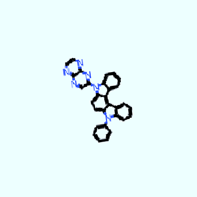 c1ccc(-n2c3ccccc3c3c4c5ccccc5n(-c5cnc6nccnc6n5)c4ccc32)cc1